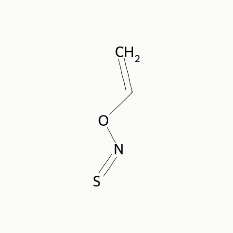 C=CON=S